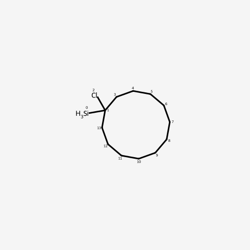 [SiH3]C1(Cl)CCCCCCCCCCC1